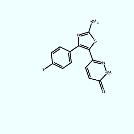 Nc1nc(-c2ccc(F)cc2)c(-c2ccc(=O)[nH]n2)s1